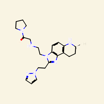 C[C@H]1CCc2c(ccc3c2nc(CCn2cccn2)n3CCNCC(=O)N2CCCC2)N1